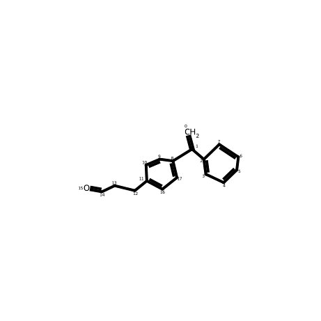 C=C(c1ccccc1)c1ccc(CCC=O)cc1